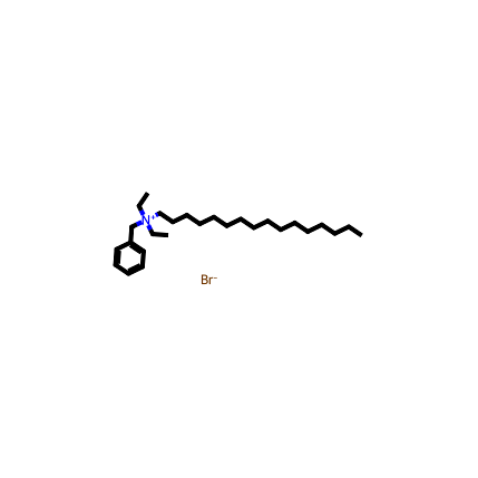 CCCCCCCCCCCCCCCC[N+](CC)(CC)Cc1ccccc1.[Br-]